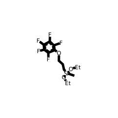 CCO[Si](C)(CCCOc1c(F)c(F)c(F)c(F)c1F)OCC